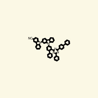 N#Cc1ccc2c(c1)c1ccccc1n2-c1ccc2c3ccccc3n(-c3ccc(-c4ccccc4)c(-c4nc(-c5ccccc5)nc(-c5ccc(-c6ccccc6)cc5)n4)c3)c2c1